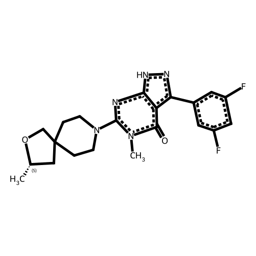 C[C@H]1CC2(CCN(c3nc4[nH]nc(-c5cc(F)cc(F)c5)c4c(=O)n3C)CC2)CO1